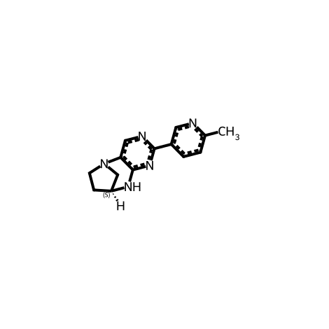 Cc1ccc(-c2ncc3c(n2)N[C@H]2CCN3C2)cn1